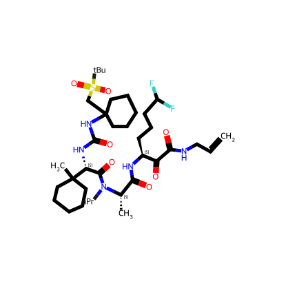 C=CCNC(=O)C(=O)[C@H](CCCC(F)F)NC(=O)[C@H](C)N(CCC)C(=O)[C@@H](NC(=O)NC1(CS(=O)(=O)C(C)(C)C)CCCCC1)C1(C)CCCCC1